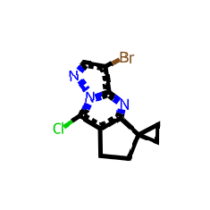 Clc1c2c(nc3c(Br)cnn13)C1(CC2)CC1